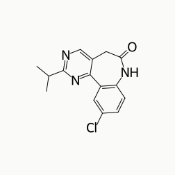 CC(C)c1ncc2c(n1)-c1cc(Cl)ccc1NC(=O)C2